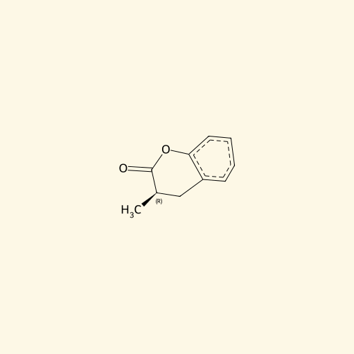 C[C@@H]1Cc2ccccc2OC1=O